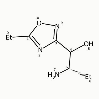 CCc1nc(C(O)[C@@H](N)CC)no1